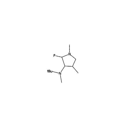 CC1CN(C)C(F)C1N(C)C(C)(C)C